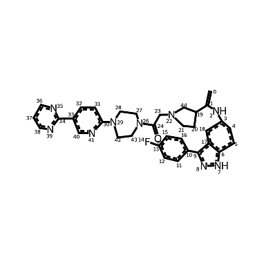 C=C(Nc1ccc2[nH]nc(-c3ccc(F)cc3)c2c1)C1CCN(CC(=O)N2CCN(c3ccc(-c4ncccn4)cn3)CC2)C1